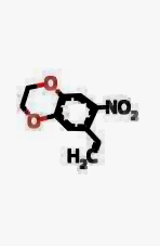 C=Cc1cc2c(cc1[N+](=O)[O-])OCCO2